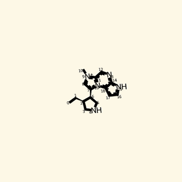 CC[C@@H]1CNC[C@@H]1c1c[n+](C)c2cnc3[nH]ccc3n12